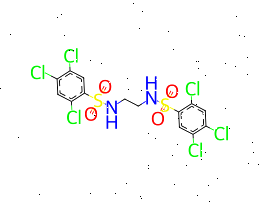 O=S(=O)(NCCNS(=O)(=O)c1cc(Cl)c(Cl)cc1Cl)c1cc(Cl)c(Cl)cc1Cl